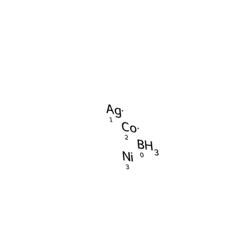 B.[Ag].[Co].[Ni]